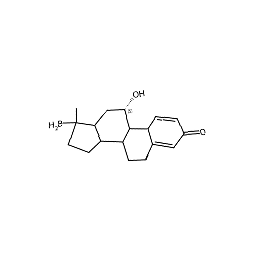 BC1(C)CCC2C3CCC4=CC(=O)C=CC4C3[C@@H](O)CC21